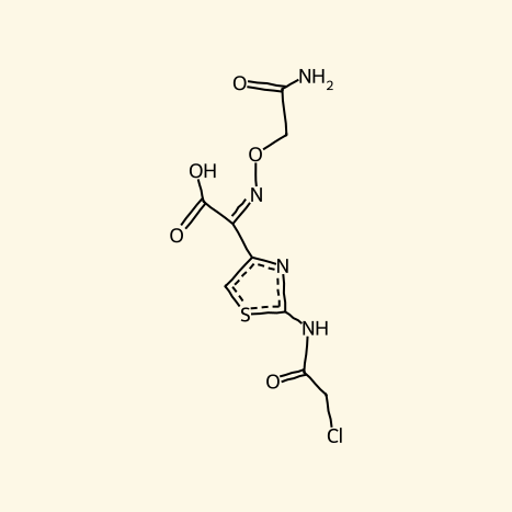 NC(=O)CO/N=C(\C(=O)O)c1csc(NC(=O)CCl)n1